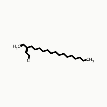 C=CC(=CCCl)CCCCCCCCCCCCCCC